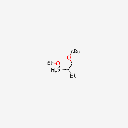 [CH2]CC(COCCCC)[SiH2]OCC